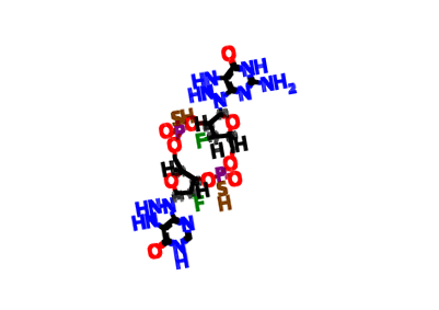 Nc1nc2c(c(=O)[nH]1)NNN2[C@@H]1O[C@@H]2COP(=O)(S)O[C@H]3[C@H](F)[C@H](N4NNc5c4nc[nH]c5=O)O[C@@H]3COP(=O)(S)O[C@@H]1[C@@H]2F